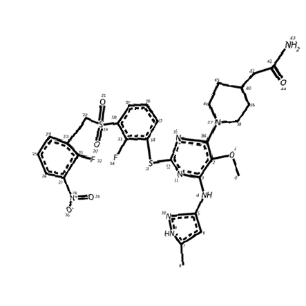 COc1c(Nc2cc(C)[nH]n2)nc(Sc2cccc(S(=O)(=O)Cc3cccc([N+](=O)[O-])c3F)c2F)nc1N1CCC(CC(N)=O)CC1